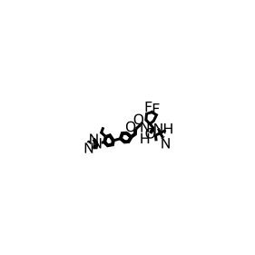 CCc1cc(-c2ccc3cc(C(=O)NC4(C(=O)NC(C)(C#N)CC)CCC(F)(F)CC4)oc3c2)ccc1-n1cncn1